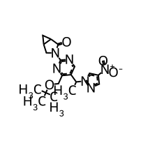 CC(c1cnc(N2CC3CC3C2=O)nc1COC(C)(C)C)n1cc([N+](=O)[O-])cn1